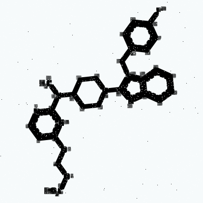 CCOC(=O)OCOc1ccnc(N(C)C2CCN(c3nc4ccccc4n3Cc3ccc(F)cc3)CC2)n1